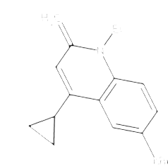 C=C1C=C(C2CC2)c2cc(CCCC)ccc2N1CC